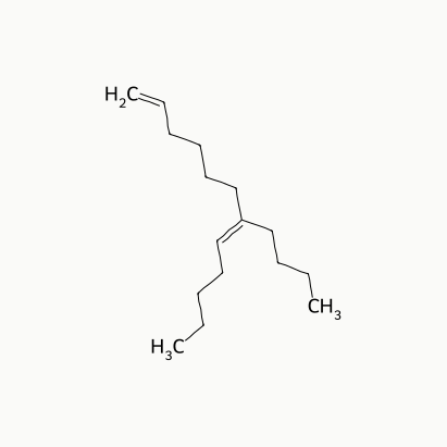 C=CCCCCC(=CCCCC)CCCC